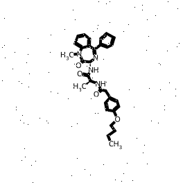 CCCCOc1ccc(CC(=O)N[C@@H](C)C(=O)N[C@H]2N=C(c3ccccc3)c3ccccc3N(C)C2=O)cc1